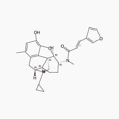 Cc1cc(O)c2c3c1C[C@@H]1[C@@H]4CC[C@@H](N(C)C(=O)/C=C/c5ccoc5)[C@H](O2)[C@]34CCN1C1CC1